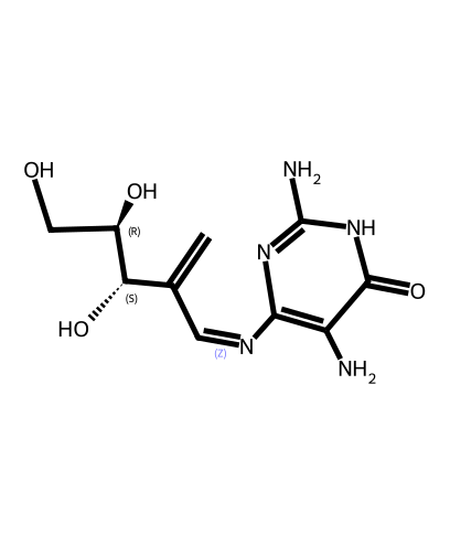 C=C(/C=N\c1nc(N)[nH]c(=O)c1N)[C@H](O)[C@H](O)CO